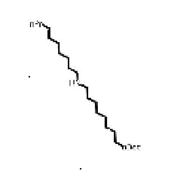 CCC/C=C/CCCCCNCCCCCCCCCCCCCCCCCC